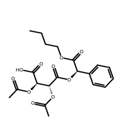 CCCCOC(=O)[C@H](OC(=O)[C@H](OC(C)=O)[C@@H](OC(C)=O)C(=O)O)c1ccccc1